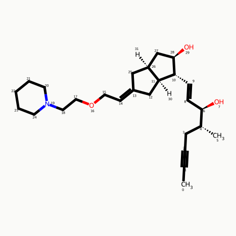 CC#CC[C@@H](C)[C@H](O)C=C[C@@H]1[C@H]2CC(=CCOCCN3CCCCC3)C[C@H]2C[C@H]1O